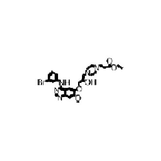 CCOC(=O)CCN1CCN(CC(O)COc2cc3c(Nc4cccc(Br)c4)ncnc3cc2OC)CC1